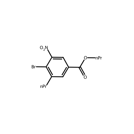 CCCOC(=O)c1cc(CCC)c(Br)c([N+](=O)[O-])c1